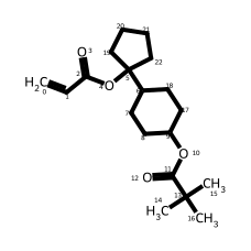 C=CC(=O)OC1(C2CCC(OC(=O)C(C)(C)C)CC2)CCCC1